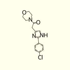 O=C(Cc1c[nH]c(-c2ccc(Cl)cc2)n1)N1CCOCC1